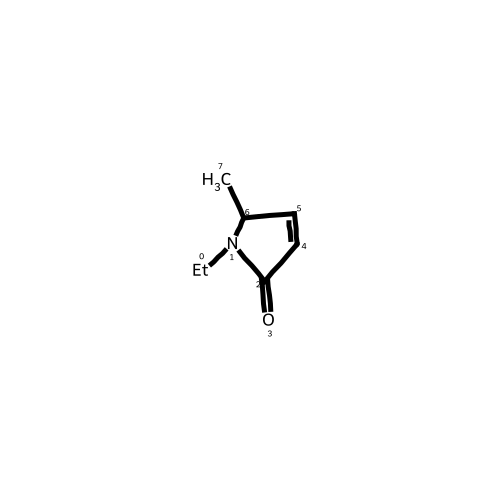 CCN1C(=O)C=CC1C